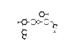 CC(=O)c1cc(F)c(N2CCC3(CC2)CC(N2CCN(Cc4cnn(C(C)C)c4)C[C@H]2c2ccccc2C(C)C)C3)cc1Oc1cnc2[nH]ccc2c1